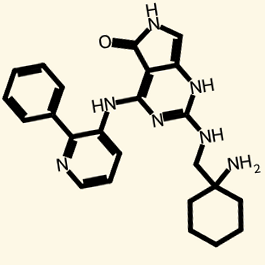 NC1(CNc2nc(Nc3cccnc3-c3ccccc3)c3c(=O)[nH]cc-3[nH]2)CCCCC1